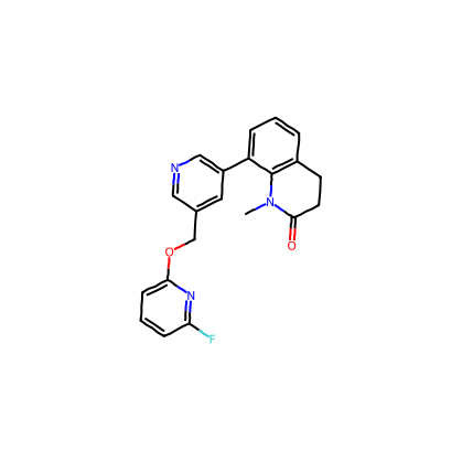 CN1C(=O)CCc2cccc(-c3cncc(COc4cccc(F)n4)c3)c21